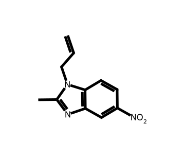 C=CCn1c(C)nc2cc([N+](=O)[O-])ccc21